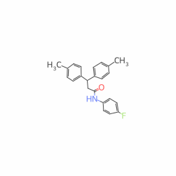 Cc1ccc(C(CC(=O)Nc2ccc(F)cc2)c2ccc(C)cc2)cc1